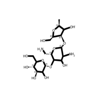 C[C@@H]1O[C@H](CO)[C@H](O[C@@H]2O[C@@H](CN)C(O[C@H]3OC(CO)[C@@H](O)[C@H](O)C3O)C(O)C2N)C1O